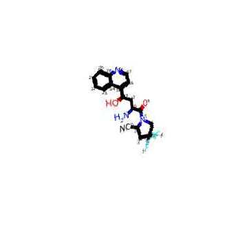 N#CC1CC(F)(F)CN1C(=O)C(N)CC(O)c1ccnc2ccccc12